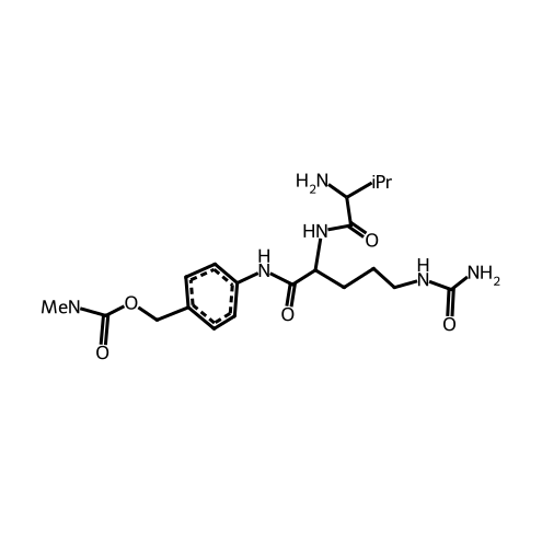 CNC(=O)OCc1ccc(NC(=O)C(CCCNC(N)=O)NC(=O)C(N)C(C)C)cc1